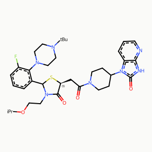 CC(C)OCCN1C(=O)[C@H](CC(=O)N2CCC(n3c(=O)[nH]c4ncccc43)CC2)SC1c1cccc(F)c1N1CCN(C(C)(C)C)CC1